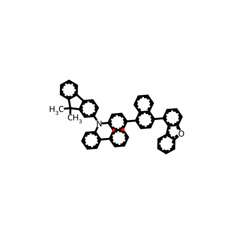 CC1(C)c2ccccc2-c2ccc(N(c3ccc(-c4ccc(-c5cccc6oc7ccccc7c56)c5ccccc45)cc3)c3ccccc3-c3ccccc3)cc21